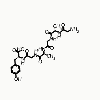 C[C@H](NC(=O)CN)C(=O)NCC(=O)N[C@@H](C)C(=O)NCC(=O)N[C@@H](Cc1ccc(O)cc1)C(=O)O